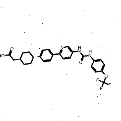 O=C(O)C[C@H]1CC[C@H](c2ccc(-c3ccc(NC(=O)Nc4ccc(OC(F)(F)F)cc4)cn3)cc2)CC1